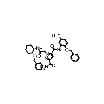 Cc1ccc(OCc2ccccc2)c(NC(=O)c2cc(C(N)=O)nn2CC(=O)N[C@H]2CCCC[C@@H]2OCc2ccccc2)c1